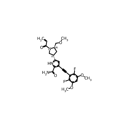 C=CC(=O)N1C[C@@H](c2cc(C#Cc3c(F)c(OC)cc(OC)c3F)c(C(N)=O)[nH]2)C[C@@H]1COC